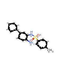 Cc1ccc(S(=O)(=O)Nc2cc(-c3ccccc3)ccc2N)cc1